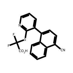 N#Cc1ccc(-c2cccnc2SC(F)(F)C(=O)O)c2ccccc12